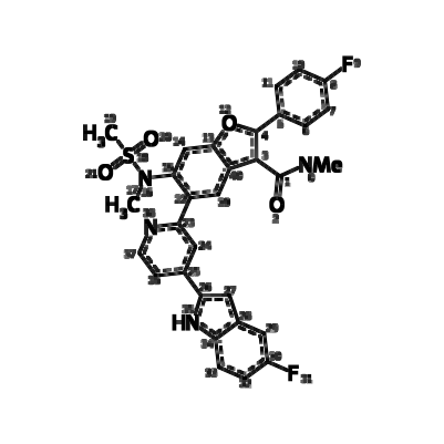 CNC(=O)c1c(-c2ccc(F)cc2)oc2cc(N(C)S(C)(=O)=O)c(-c3cc(-c4cc5cc(F)ccc5[nH]4)ccn3)cc12